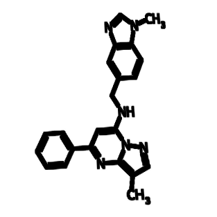 Cc1cnn2c(NCc3ccc4c(c3)ncn4C)cc(-c3ccccc3)nc12